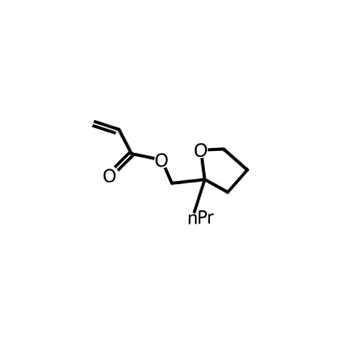 C=CC(=O)OCC1(CCC)CCCO1